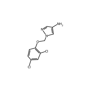 Nc1cnn(COc2ccc(Cl)cc2Cl)c1